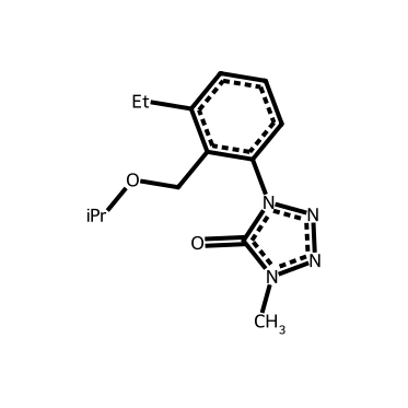 CCc1cccc(-n2nnn(C)c2=O)c1COC(C)C